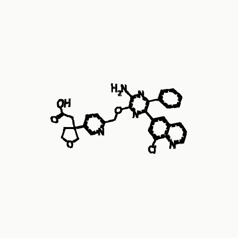 Nc1nc(-c2ccccc2)c(-c2cc(Cl)c3ncccc3c2)nc1OCc1ccc(C2(CC(=O)O)CCOC2)cn1